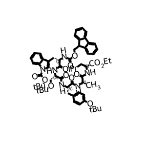 CCOC(=O)[C@H](CC(C)C)NC(=O)[C@@H](C)NC(=O)[C@H](Cc1ccc(OC(C)(C)C)cc1)NC(=O)[C@H](COC(C)(C)C)NC(=O)[C@H](Cc1cn(C(=O)OC(C)(C)C)c2ccccc12)NC(=O)OCC1c2ccccc2-c2ccccc21